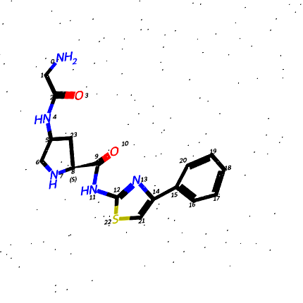 NCC(=O)NC1CN[C@H](C(=O)Nc2nc(-c3ccccc3)cs2)C1